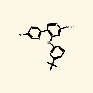 CC(=O)Nc1cc(Nc2cccc(C(C)(F)F)n2)c(-c2ccc(C#N)cn2)cn1